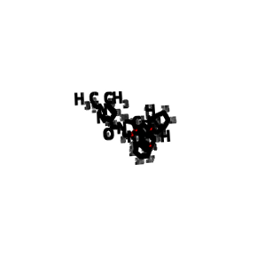 CCn1nc(C(=O)N2CCC(CCN3[C@@H]4CC[C@H]3CC(n3c(C)nc5ccccc53)C4)(c3ccccc3)CC2)cc1C